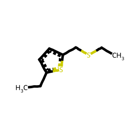 CCSCc1ccc(CC)s1